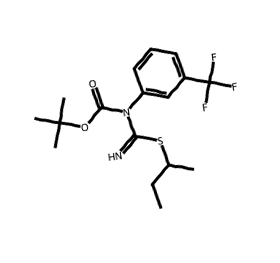 CCC(C)SC(=N)N(C(=O)OC(C)(C)C)c1cccc(C(F)(F)F)c1